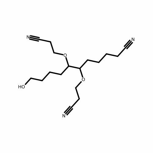 N#CCCCCC(OCCC#N)C(CCCCO)OCCC#N